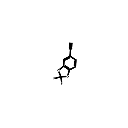 C#Cc1ccc2c(c1)OC(F)(F)O2